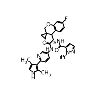 Cc1c[nH]c(C)c1-c1ccc(NC(=O)[C@@H](NC(=O)c2ccnn2C(C)C)C2c3ccc(F)cc3OCC23CC3)cn1